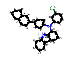 Clc1cccc(N(c2ccc(-c3ccc4ccccc4c3)cc2)c2cccc3c2[nH]c2ccccc23)c1